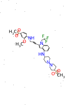 COc1cc(S(C)(=O)=O)ccc1NCC#Cc1cc2c(NC3CCN(N4CCC(S(C)(=O)=O)CC4)CC3)cccc2n1CC(F)(F)F